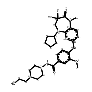 COc1cc(C(=O)NN2CCN(CCO)CC2)ccc1Nc1ncc2c(n1)N(C1CCCC1)CC(F)(F)C(=O)N2C